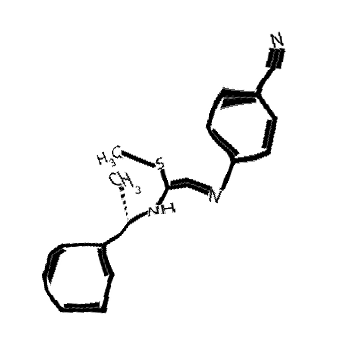 CSC(=Nc1ccc(C#N)cc1)N[C@@H](C)c1ccccc1